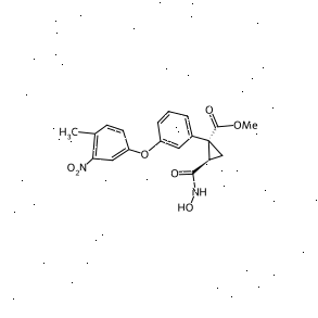 COC(=O)[C@]1(c2cccc(Oc3ccc(C)c([N+](=O)[O-])c3)c2)C[C@H]1C(=O)NO